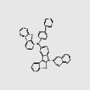 c1ccc(-c2ccc(N(c3ccc4c(c3)c3c5ccccc5oc3n4-c3ccc4ccccc4c3)c3cccc4c3oc3ccccc34)cc2)cc1